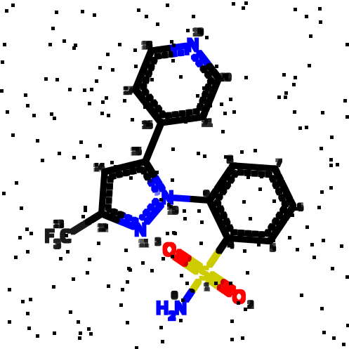 NS(=O)(=O)c1ccccc1-n1nc(C(F)(F)F)cc1-c1ccncc1